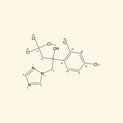 OC(Cn1cncn1)(CC(Cl)(Cl)Cl)c1ccc(Cl)cc1Cl